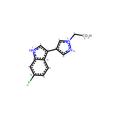 O=C(O)Cn1cc(-c2c[nH]c3cc(F)ccc23)cn1